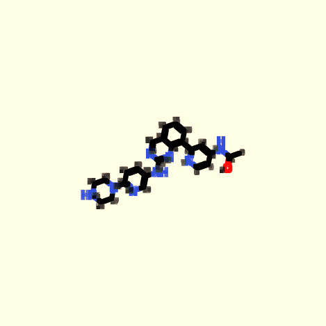 CC(=O)Nc1ccnc(-c2cccc3cnc(Nc4ccc(N5CCNCC5)nc4)nc23)c1